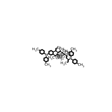 C/C=C(\C=C(/CC)C(C)(C)C(C)(C)/C(C)=C1/C(=C\CC)c2ccc(N(c3ccc(C)cc3)c3ccc(C)cc3)cc2C(C)(C)C1(C)C)N(c1ccc(C)cc1)c1ccc(C)cc1